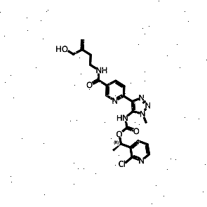 C=C(CO)CCNC(=O)c1ccc(-c2nnn(C)c2NC(=O)O[C@H](C)c2cccnc2Cl)nc1